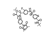 Cc1cn(C)c(=O)n(-c2ccc(C[C@H](NC(=O)c3ccc(NS(=O)(=O)c4ccc(C(=O)NC(C)(C)C)nc4)cc3F)C(=O)OC(C)C)cc2)c1=O